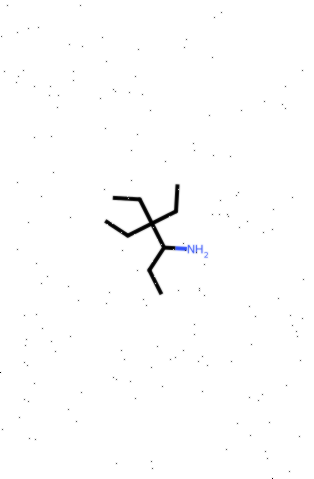 CCC(N)C(CC)(CC)CC